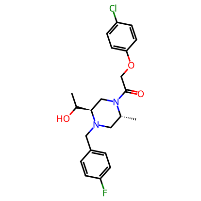 CC(O)[C@H]1CN(C(=O)COc2ccc(Cl)cc2)[C@H](C)CN1Cc1ccc(F)cc1